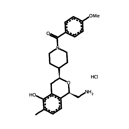 COc1ccc(C(=O)N2CCC([C@@H]3Cc4c(ccc(C)c4O)[C@H](CN)O3)CC2)cc1.Cl